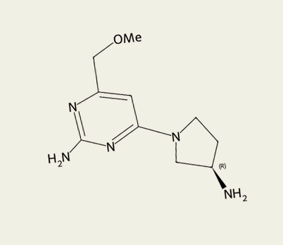 COCc1cc(N2CC[C@@H](N)C2)nc(N)n1